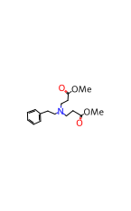 COC(=O)CCN(CCC(=O)OC)CCc1ccccc1